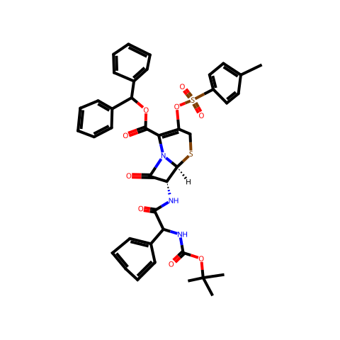 Cc1ccc(S(=O)(=O)OC2=C(C(=O)OC(c3ccccc3)c3ccccc3)N3C(=O)[C@@H](NC(=O)C(NC(=O)OC(C)(C)C)c4ccccc4)[C@@H]3SC2)cc1